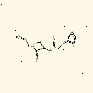 C=CCN1CC(NC(=O)Cc2cccs2)C1=O